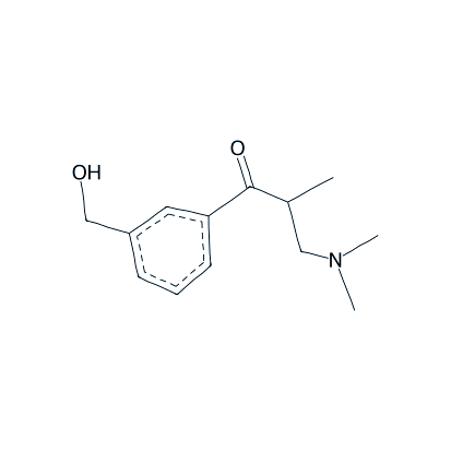 CC(CN(C)C)C(=O)c1cccc(CO)c1